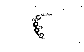 COCCN1CCN(C(=O)c2ccc(-c3ccc(CN4CCCN(C)CC4)cc3C#N)cc2)CC1